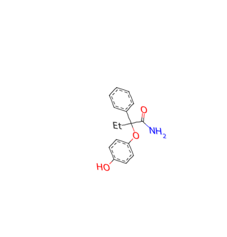 CCC(Oc1ccc(O)cc1)(C(N)=O)c1ccccc1